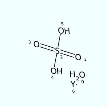 O.O=S(=O)(O)O.[Y]